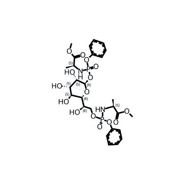 COC(=O)[C@H](C)NP(=O)(OC[C@@H](O)[C@H]1O[C@H](OP(=O)(N[C@@H](C)C(=O)OC)Oc2ccccc2)[C@@H](O)[C@@H](O)[C@@H]1O)Oc1ccccc1